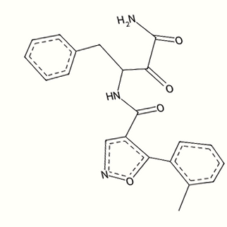 Cc1ccccc1-c1oncc1C(=O)NC(Cc1ccccc1)C(=O)C(N)=O